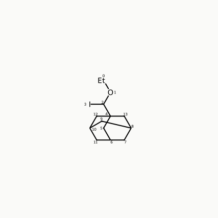 CCOC(I)C12CC3CC(CC(C3)C1)C2